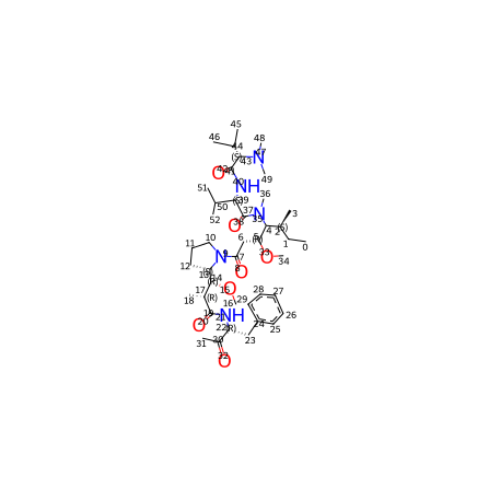 CC[C@H](C)C([C@@H](CC(=O)N1CCC[C@H]1[C@H](OC)[C@@H](C)C(=O)N[C@H](Cc1ccccc1)C(C)=O)OC)N(C)C(=O)[C@@H](NC(=O)[C@H](C(C)C)N(C)C)C(C)C